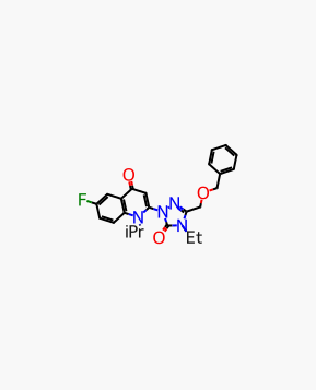 CCn1c(COCc2ccccc2)nn(-c2cc(=O)c3cc(F)ccc3n2C(C)C)c1=O